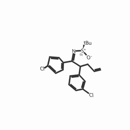 C=CCC(C(=N[S@+]([O-])C(C)(C)C)c1ccc(Cl)cc1)c1cccc(Cl)c1